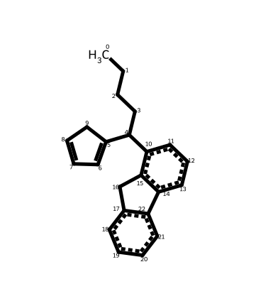 CCCCC(C1=CC=CC1)c1cccc2c1Cc1ccccc1-2